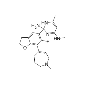 CNC1=NC(N)(c2cc3c(c(C4=CCN(C)CCC4)c2F)OCC3)NC(C)=C1